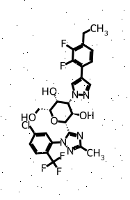 CCc1ccc(-c2cnn([C@H]3[C@@H](O)[C@@H](CO)O[C@@H](c4nc(C)nn4-c4cc(Cl)ccc4C(F)(F)F)[C@@H]3O)c2)c(F)c1F